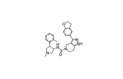 Cc1ccccc1[C@@H]1CN(C)CC1NC(=O)N1CCc2[nH]nc(-c3ccc4c(c3)CCO4)c2C1